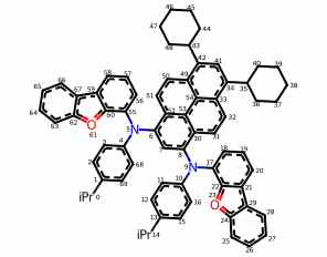 CC(C)c1ccc(N(c2cc(N(c3ccc(C(C)C)cc3)c3cccc4c3oc3ccccc34)c3ccc4c(C5CCCCC5)cc(C5CCCCC5)c5ccc2c3c54)c2cccc3c2oc2ccccc23)cc1